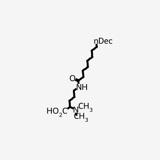 CCCCCCCCCCCCCCCCCC(=O)NCCCC(C(=O)O)N(C)C